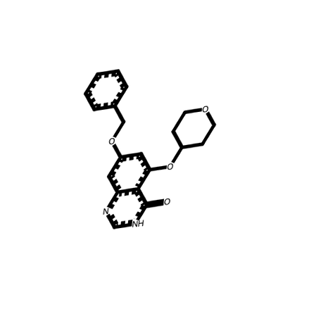 O=c1[nH]cnc2cc(OCc3ccccc3)cc(OC3CCOCC3)c12